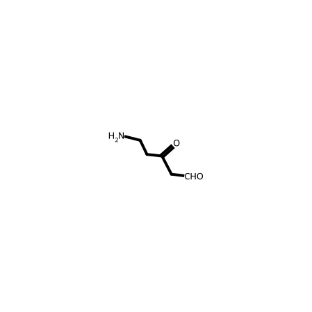 NCCC(=O)CC=O